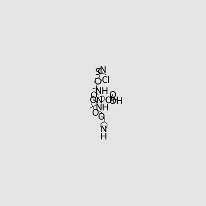 Cc1ncsc1-c1ccc(C(C)NC(=O)[C@@H]2C[C@@H](O)CN2C(=O)C(NC(=O)COCC2CCNCC2)C(C)(C)C)cc1Cl.O=CO